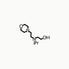 CC(C)N(CCO)CCN1CCOCC1